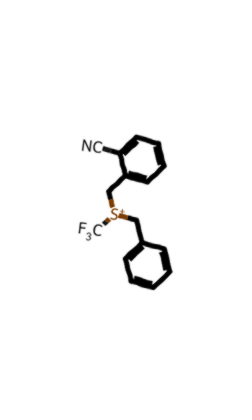 N#Cc1ccccc1C[S+](Cc1ccccc1)C(F)(F)F